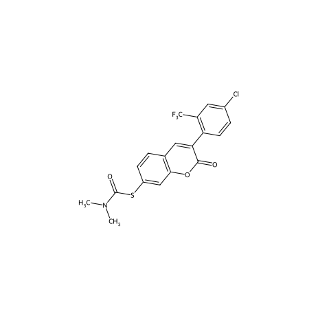 CN(C)C(=O)Sc1ccc2cc(-c3ccc(Cl)cc3C(F)(F)F)c(=O)oc2c1